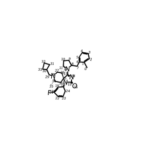 Cc1ccccc1CC1CCCN1C1=NC(=O)N(C2C=C(F)C=CC2)[C@@]12CCN(CC1CCC1)[C@@H](C)C2